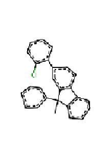 CC1(c2ccccc2)c2ccccc2-c2ccc(-c3ccccc3Cl)cc21